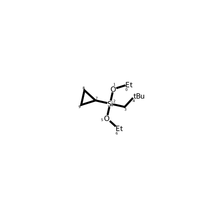 CCO[Si](CC(C)(C)C)(OCC)C1CC1